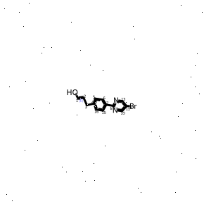 O/C=C/Cc1ccc(-c2ncc(Br)cn2)cc1